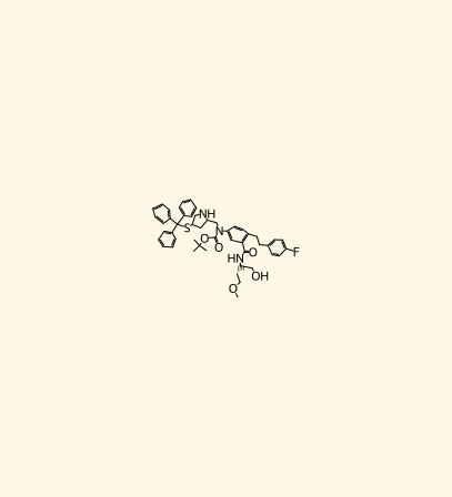 COCC[C@@H](CO)NC(=O)c1cc(N(CC2CC(SC(c3ccccc3)(c3ccccc3)c3ccccc3)CN2)C(=O)OC(C)(C)C)ccc1CCc1ccc(F)cc1